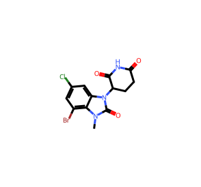 Cn1c(=O)n(C2CCC(=O)NC2=O)c2cc(Cl)cc(Br)c21